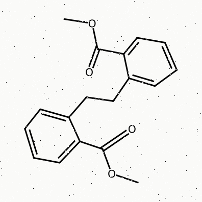 COC(=O)c1ccccc1CCc1ccccc1C(=O)OC